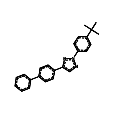 CC(C)(C)c1ccc(-n2ncc(-c3ccc(-c4ccccc4)cc3)n2)cc1